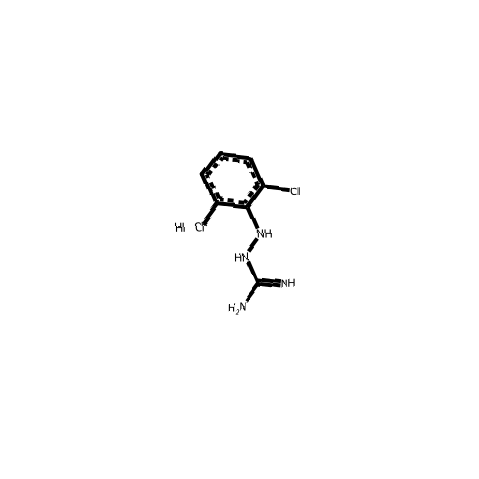 I.N=C(N)NNc1c(Cl)cccc1Cl